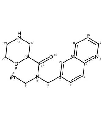 CC(C)CN(Cc1ccc2ncccc2c1)C(=O)C1CNCCO1